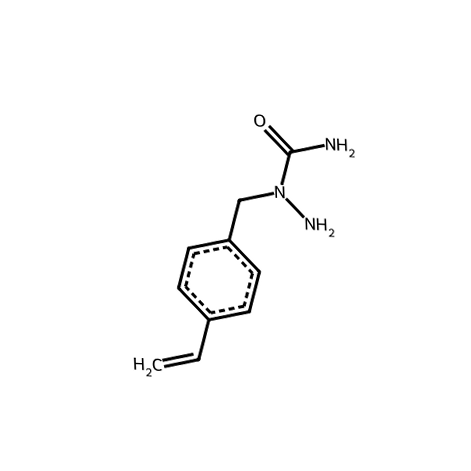 C=Cc1ccc(CN(N)C(N)=O)cc1